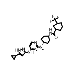 CN(c1nccc(Nc2cc(C3CC3)[nH]n2)n1)[C@H]1CC[C@H](NC(=O)C2CCCC(C(F)(F)F)C2)CC1